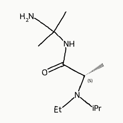 CCN(C(C)C)[C@@H](C)C(=O)NC(C)(C)N